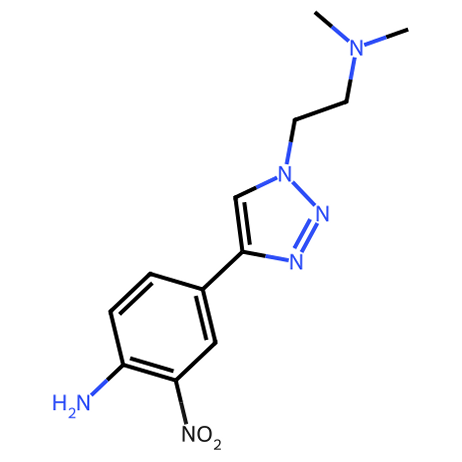 CN(C)CCn1cc(-c2ccc(N)c([N+](=O)[O-])c2)nn1